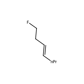 [CH2]CC/C=C/CCF